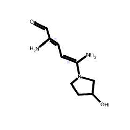 N/C(C=O)=C\C=C(/N)N1CCC(O)C1